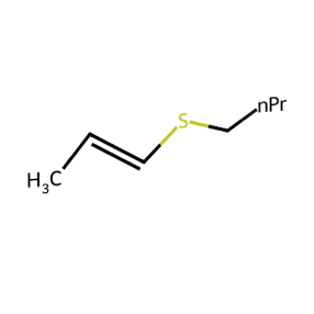 CC=CSCCCC